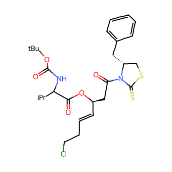 CC(C)C(NC(=O)OC(C)(C)C)C(=O)O[C@H](/C=C/CCCl)CC(=O)N1C(=S)SC[C@H]1Cc1ccccc1